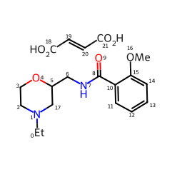 CCN1CCOC(CNC(=O)c2ccccc2OC)C1.O=C(O)/C=C/C(=O)O